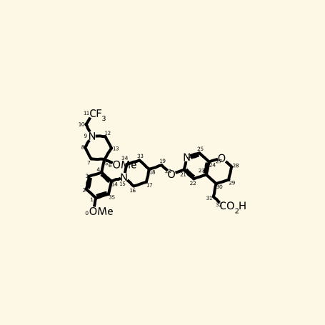 COc1ccc(C2(OC)CCN(CC(F)(F)F)CC2)c(N2CCC(COc3cc4c(cn3)OCCC4CC(=O)O)CC2)c1